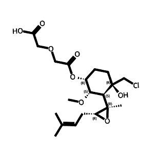 CO[C@@H]1[C@H](OC(=O)COCC(=O)O)CC[C@](O)(CCl)[C@H]1[C@@]1(C)O[C@@H]1CC=C(C)C